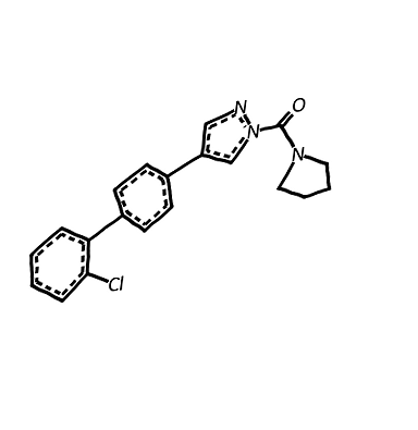 O=C(N1CCCC1)n1cc(-c2ccc(-c3ccccc3Cl)cc2)cn1